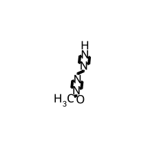 CC(=O)N1CCN(CCN2CCNCC2)CC1